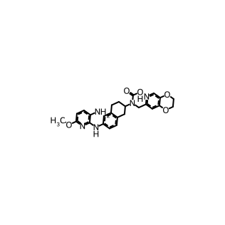 COc1ccc(N)c(Nc2ccc3c(c2)CCC(N(Cc2cc4c(cn2)OCCO4)C(=O)O)C3)n1